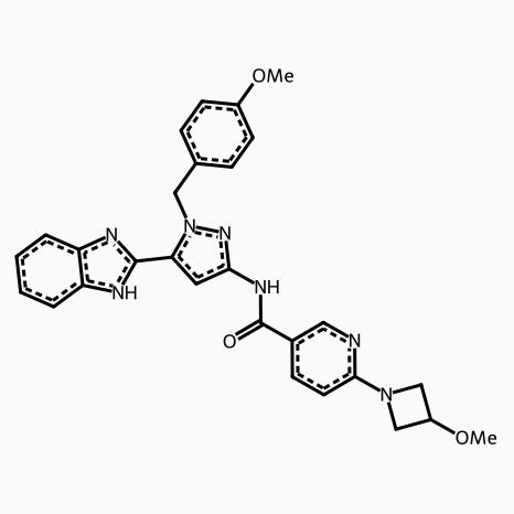 COc1ccc(Cn2nc(NC(=O)c3ccc(N4CC(OC)C4)nc3)cc2-c2nc3ccccc3[nH]2)cc1